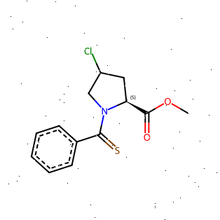 COC(=O)[C@@H]1CC(Cl)CN1C(=S)c1ccccc1